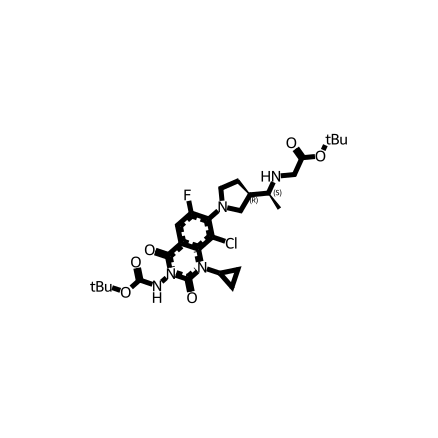 C[C@H](NCC(=O)OC(C)(C)C)[C@@H]1CCN(c2c(F)cc3c(=O)n(NC(=O)OC(C)(C)C)c(=O)n(C4CC4)c3c2Cl)C1